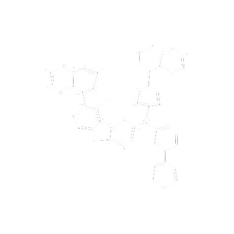 c1ccc(-c2cccc(N(c3ccc(-c4cccc5ccccc45)cc3)c3ccc4sc5ccc6c(oc7ccc8ccccc8c76)c5c4c3)c2)cc1